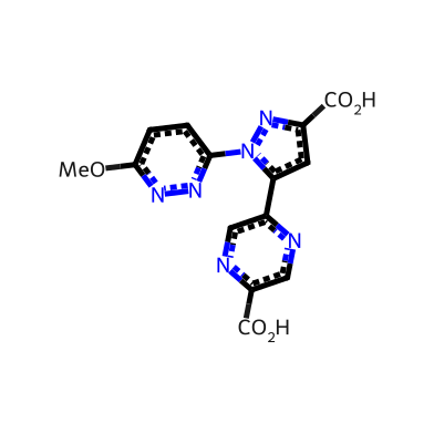 COc1ccc(-n2nc(C(=O)O)cc2-c2cnc(C(=O)O)cn2)nn1